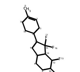 CC1=CCC(C2CC3CCC(F)C(F)C3C2(F)F)CC1